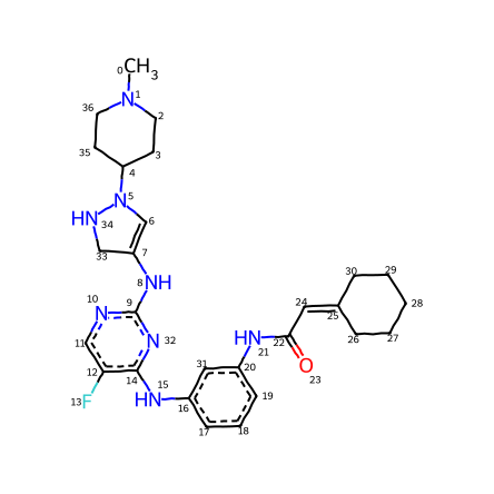 CN1CCC(N2C=C(Nc3ncc(F)c(Nc4cccc(NC(=O)C=C5CCCCC5)c4)n3)CN2)CC1